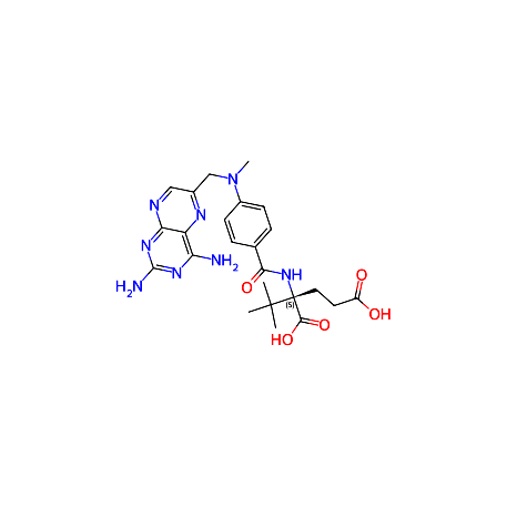 CN(Cc1cnc2nc(N)nc(N)c2n1)c1ccc(C(=O)N[C@](CCC(=O)O)(C(=O)O)C(C)(C)C)cc1